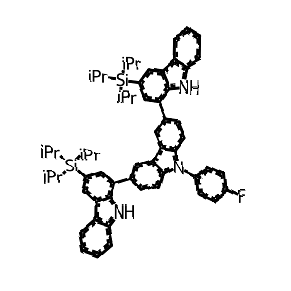 CC(C)[Si](c1cc(-c2ccc3c(c2)c2cc(-c4cc([Si](C(C)C)(C(C)C)C(C)C)cc5c4[nH]c4ccccc45)ccc2n3-c2ccc(F)cc2)c2[nH]c3ccccc3c2c1)(C(C)C)C(C)C